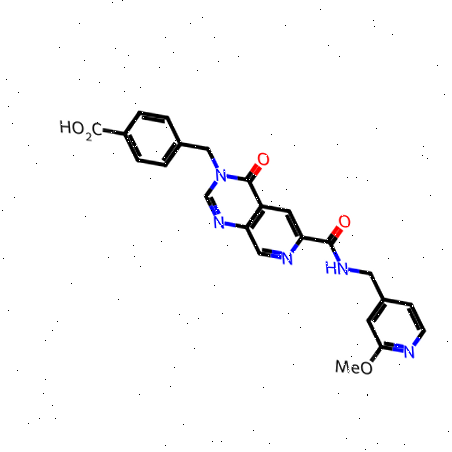 COc1cc(CNC(=O)c2cc3c(=O)n(Cc4ccc(C(=O)O)cc4)cnc3cn2)ccn1